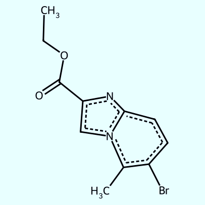 CCOC(=O)c1cn2c(C)c(Br)ccc2n1